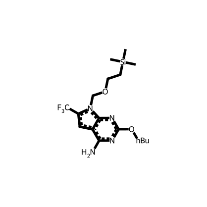 CCCCOc1nc(N)c2cc(C(F)(F)F)n(COCC[Si](C)(C)C)c2n1